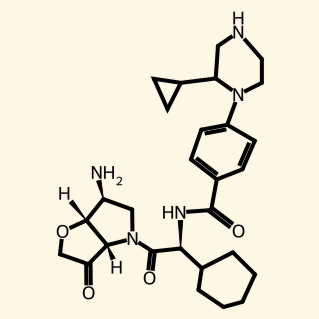 N[C@H]1CN(C(=O)[C@@H](NC(=O)c2ccc(N3CCNCC3C3CC3)cc2)C2CCCCC2)[C@@H]2C(=O)CO[C@@H]21